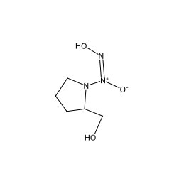 [O-]/[N+](=N/O)N1CCCC1CO